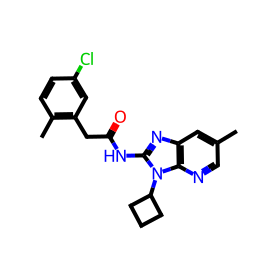 Cc1cnc2c(c1)nc(NC(=O)Cc1cc(Cl)ccc1C)n2C1CCC1